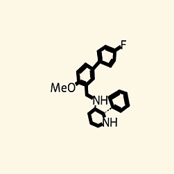 COc1ccc(-c2ccc(F)cc2)cc1CN[C@H]1CCCN[C@H]1c1ccccc1